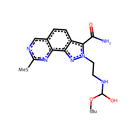 CSc1ncc2ccc3c(C(N)=O)n(CCNC(O)OC(C)(C)C)nc3c2n1